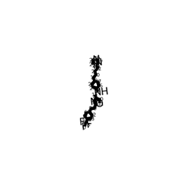 FC(F)(F)c1ccc(C=Cc2nc(CNc3ccc(CCCCn4ccnn4)cc3)co2)cc1